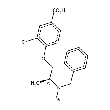 CC(C)N(Cc1ccccc1)[C@@H](C)COc1ccc(C(=O)O)cc1Cl